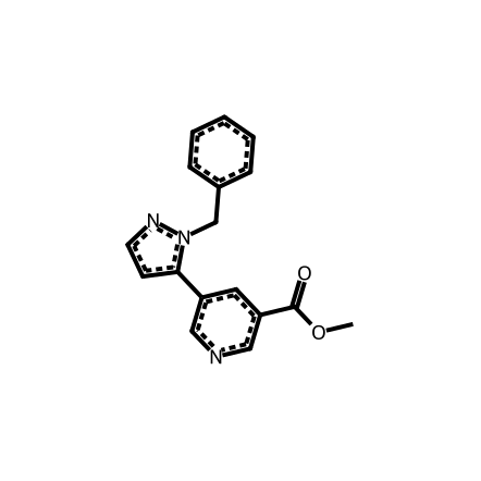 COC(=O)c1cncc(-c2ccnn2Cc2ccccc2)c1